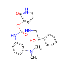 CN(C)c1cccc(NC(=O)Oc2c(NC[C@@H](O)c3ccccc3)cc[nH]c2=O)c1